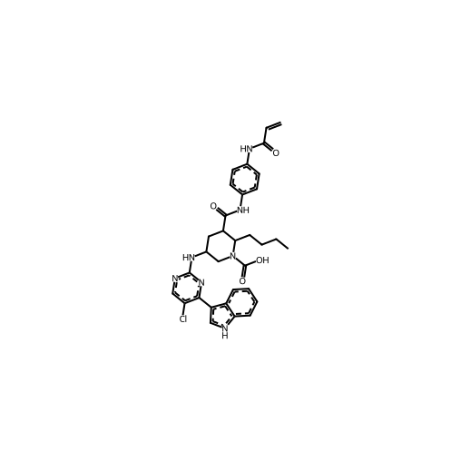 C=CC(=O)Nc1ccc(NC(=O)C2CC(Nc3ncc(Cl)c(-c4c[nH]c5ccccc45)n3)CN(C(=O)O)C2CCCC)cc1